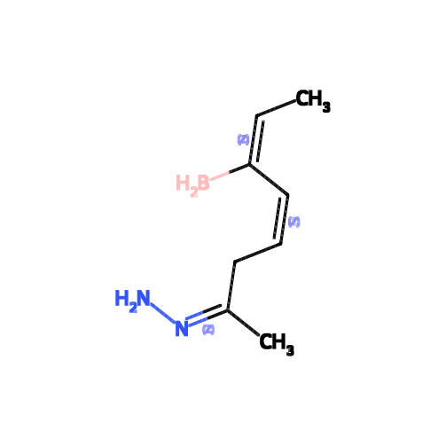 BC(/C=C\C/C(C)=N\N)=C/C